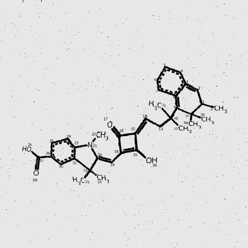 CC1C=c2ccccc2=C(C(C)(C)CC=C2C(=O)C(C=C3N(C)c4ccc(C(=O)O)cc4C3(C)C)=C2O)C1(C)C